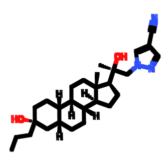 CCC[C@@]1(O)CC[C@H]2[C@H](CC[C@@H]3[C@@H]2CC[C@@]2(C)[C@H]3CC[C@@H]2[C@@](C)(O)Cn2cc(C#N)cn2)C1